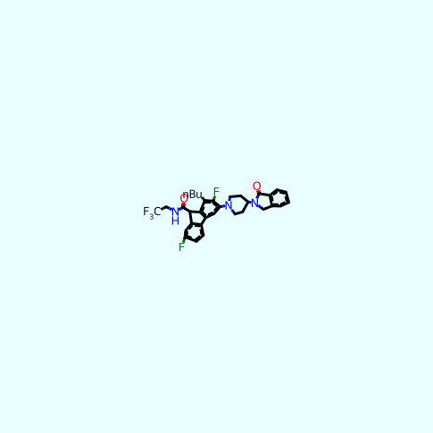 CCCCc1c(F)c(N2CCC(N3Cc4ccccc4C3=O)CC2)cc2c1C(C(=O)NCC(F)(F)F)c1cc(F)ccc1-2